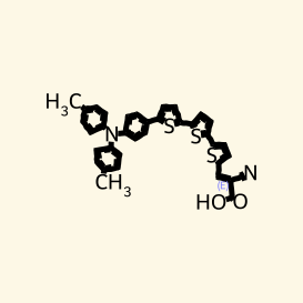 Cc1ccc(N(c2ccc(C)cc2)c2ccc(-c3ccc(-c4ccc(-c5ccc(/C=C(\C#N)C(=O)O)s5)s4)s3)cc2)cc1